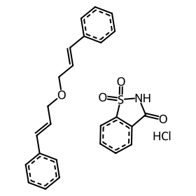 C(=Cc1ccccc1)COCC=Cc1ccccc1.Cl.O=C1NS(=O)(=O)c2ccccc21